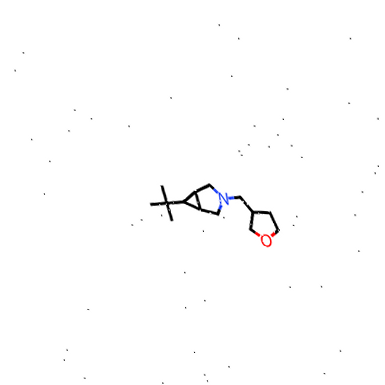 CC(C)(C)C1C2CN(CC3CCOC3)CC21